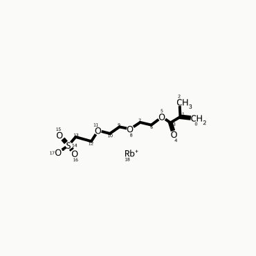 C=C(C)C(=O)OCCOCCOCCS(=O)(=O)[O-].[Rb+]